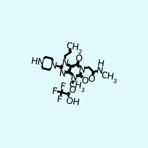 C=CCn1c(N2CCNCC2)nc2c1c(=O)n(CC(=O)NC)c(=O)n2C.O=C(O)C(F)(F)F